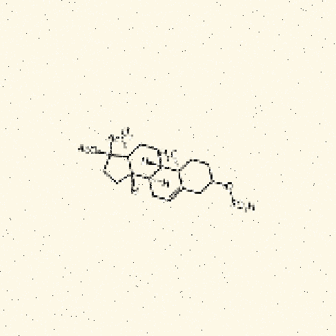 CC(=O)O[C@]1(C(C)=O)CC[C@H]2[C@@H]3CC=C4CC(OS(=O)(=O)O)CC[C@]4(C)[C@H]3CC[C@@]21C